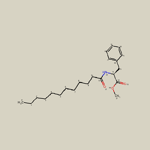 CCCCCCCCCCCC(=O)N[C@@H](Cc1ccccc1)C(=O)OC